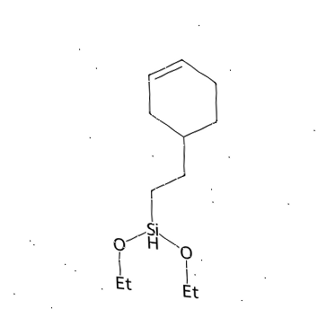 CCO[SiH](CCC1CC=CCC1)OCC